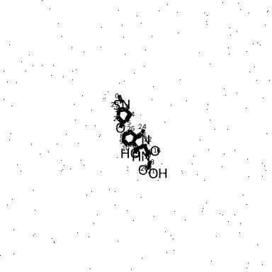 Cc1nc2ccc(Oc3ccc4c(O)c(C(=O)NCC(=O)O)nc(C)c4c3)cc2s1